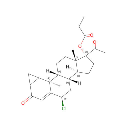 CCC(=O)O[C@]1(C(C)=O)CC[C@H]2[C@@H]3C[C@@H](Cl)C4=CC(=O)C5CC5[C@@]4(C)[C@@H]3CC[C@@]21C